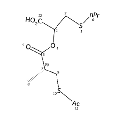 CCCSCC(OC(=O)[C@@H](C)CSC(C)=O)C(=O)O